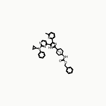 Cc1cccc(-c2nc(C34CCC(NC(=O)OCc5ccccc5)(CC3)CC4)[nH]c2-c2ccnc(N(c3ccccc3)C3CC3)n2)n1